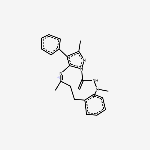 C=C(NN(C)C)n1nc(C)c(-c2ccccc2)c1/N=C(/C)CCc1ccccc1